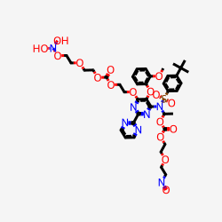 COc1ccccc1Oc1c(OCCOC(=O)OCCOCCON(O)O)nc(-c2ncccn2)nc1N(C(C)OC(=O)OCCOCCN=O)S(=O)(=O)c1ccc(C(C)(C)C)cc1